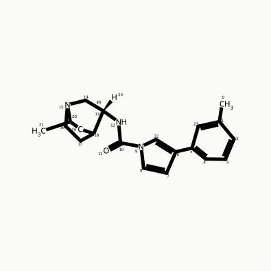 Cc1cccc(-c2ccn(C(=O)N[C@H]3CN4CCC3CC4C)c2)c1